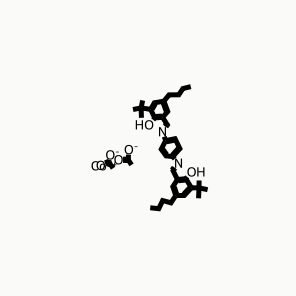 CC(=O)[O-].CC(=O)[O-].CCCCc1cc(C=Nc2ccc(N=Cc3cc(CCCC)cc(C(C)(C)C)c3O)cc2)c(O)c(C(C)(C)C)c1.[Co+2]